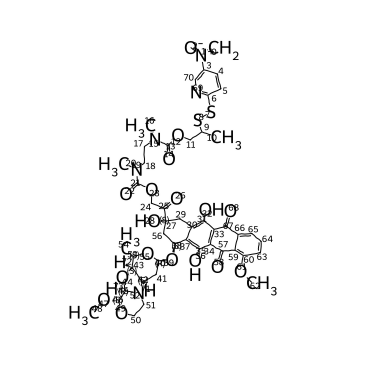 C=[N+]([O-])c1ccc(SSC(C)COC(=O)N(C)CCN(C)C(=O)OCC(=O)[C@]2(O)Cc3c(O)c4c(c(O)c3[C@@H](O[C@H]3C[C@H]5[C@H](O[C@@H]6[C@@H](OC)OCCN65)[C@H](C)O3)C2)C(=O)c2c(OC)cccc2C4=O)nc1